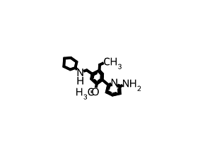 CCc1cc(-c2cccc(N)n2)c(OC)cc1CNC1CCCCC1